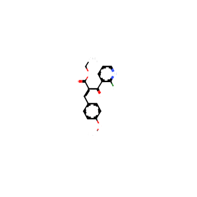 CCOC(=O)/C(=C/c1ccc(OC)cc1)C(=O)c1cccnc1Cl